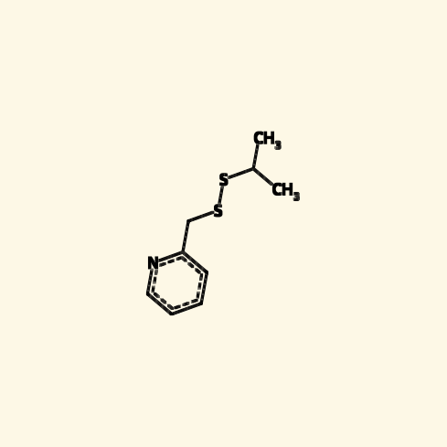 CC(C)SSCc1ccccn1